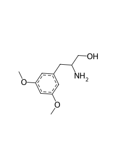 COc1cc(CC(N)CO)cc(OC)c1